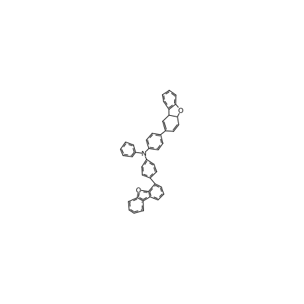 C1=CC2Oc3ccccc3C2C=C1c1ccc(N(c2ccccc2)c2ccc(-c3cccc4c3oc3ccccc34)cc2)cc1